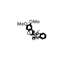 COc1cc2c(cc1OC)OCC(S(=O)(=O)Nc1ccccc1C)=C2